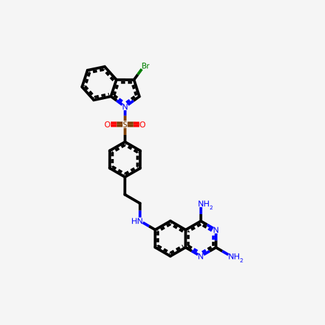 Nc1nc(N)c2cc(NCCc3ccc(S(=O)(=O)n4cc(Br)c5ccccc54)cc3)ccc2n1